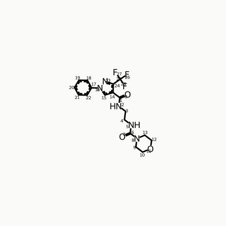 O=C(NCCNC(=O)N1CCOCC1)c1cn(-c2ccccc2)nc1C(F)(F)F